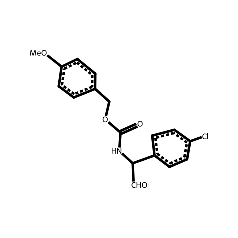 COc1ccc(COC(=O)NC([C]=O)c2ccc(Cl)cc2)cc1